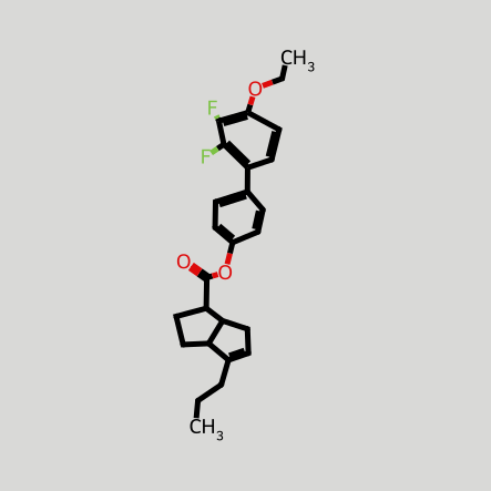 CCCC1=CCC2C(C(=O)Oc3ccc(-c4ccc(OCC)c(F)c4F)cc3)CCC12